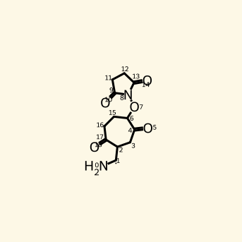 N[CH]C1CC(=O)C(ON2C(=O)CCC2=O)CCC1=O